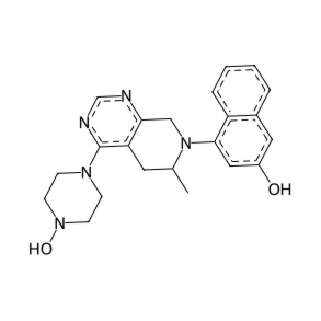 CC1Cc2c(ncnc2N2CCN(O)CC2)CN1c1cc(O)cc2ccccc12